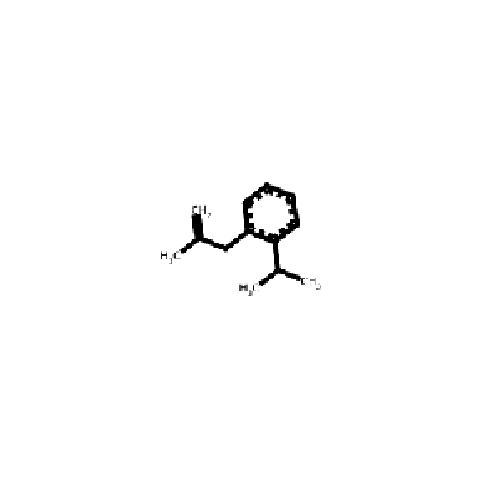 C=C(C)Cc1ccccc1C(C)C